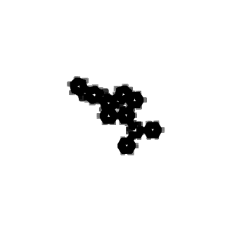 c1ccc(-c2cc(-c3ccccc3)nc(-c3cc(-c4ccccc4)c(-n4c5ccccc5c5c6oc7cc8c(cc7c6ccc54)oc4ccccc48)c(-c4ccccc4)c3)n2)cc1